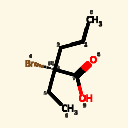 CCC[C@](Br)(CC)C(=O)O